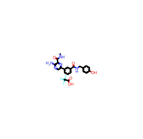 CNC(=O)c1nc(-c2cccc(C(=O)NCc3ccc(O)cc3)c2)cnc1N.O=C(O)C(F)(F)F